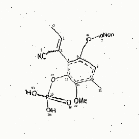 C/C=C(\C#N)c1c(OCCCCCCCCC)cc(C)c(OC)c1OP(=O)(O)O